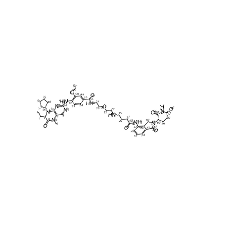 CC[C@@H]1C(=O)N(C)c2cnc(Nc3ccc(C(=O)NCCOCCNCCCC(=O)Nc4cccc5c4CN(C4CCC(=O)NC4=O)C5=O)cc3OC)nc2N1C1CCCC1